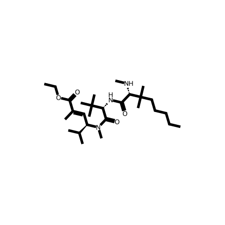 CCCCCC(C)(C)[C@@H](NC)C(=O)N[C@H](C(=O)N(C)[C@H](C=C(C)C(=O)OCC)C(C)C)C(C)(C)C